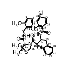 Cc1ccccc1CNC(=O)[C@H]1N(C(=O)[C@@H](O)C(Cc2ccccc2)NC(=O)c2ccc(Cl)cc2Cl)CSC1(C)C